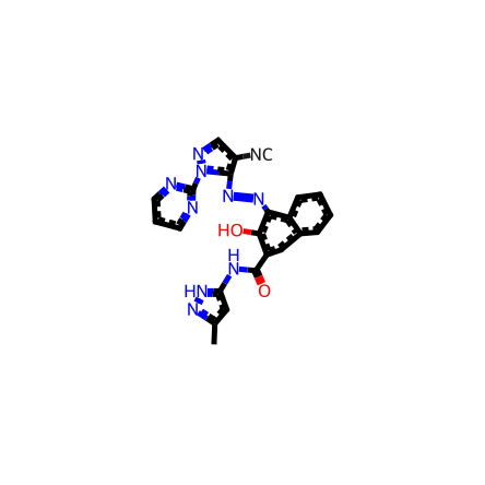 [C-]#[N+]c1cnn(-c2ncccn2)c1/N=N/c1c(O)c(C(=O)Nc2cc(C)n[nH]2)cc2ccccc12